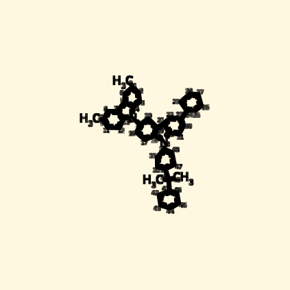 Cc1ccc2c(c1)c1cc(C)ccc1n2-c1ccc2c(c1)c1cc(-c3ccccc3)ccc1n2-c1ccc(C(C)(C)c2ccccc2)cc1